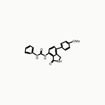 COc1ccc(-c2ccc(NC(=O)Nc3ccccc3)c3c2CNC3=O)cc1